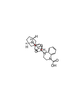 CS(=O)(=O)N1C[C@H]2CC[C@H](C1)N2c1ccc(N2CCN(C(=O)O)c3ccccc32)cc1